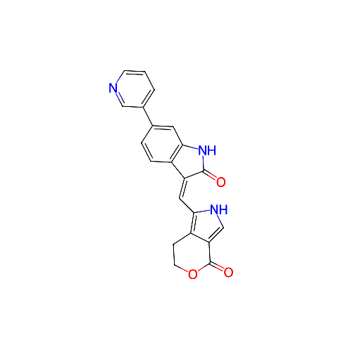 O=C1Nc2cc(-c3cccnc3)ccc2C1=Cc1[nH]cc2c1CCOC2=O